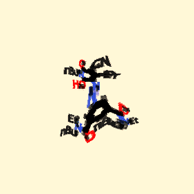 CCCCN(CC)C(=O)c1cc(/N=N/c2c(C(C)C)c(C#N)c(=O)n(CCCC)c2O)cc(C(=O)N(CC)CCCC)c1